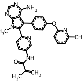 C=C(C)C(=O)Nc1ccc(-c2c(-c3ccc(Oc4cccc(C)n4)cc3)c3c(N)ncnc3n2C)nc1